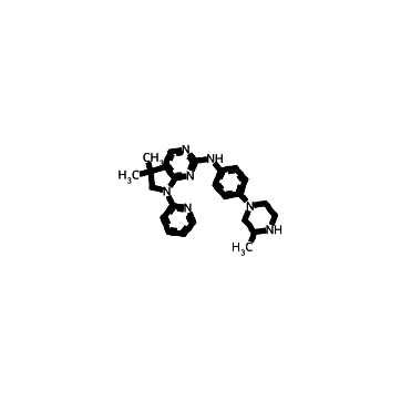 CC1CN(c2ccc(Nc3ncc4c(n3)N(c3ccccn3)CC4(C)C)cc2)CCN1